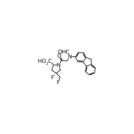 O=CN(CC(=O)N1C[C@@](F)(CF)C[C@H]1C(=O)O)c1ccc2c(c1)-c1ccccc1C2